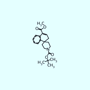 COC(=O)C1=CCC2(CCN(C(=O)OC(C)(C)C)CC2)c2ccccc21